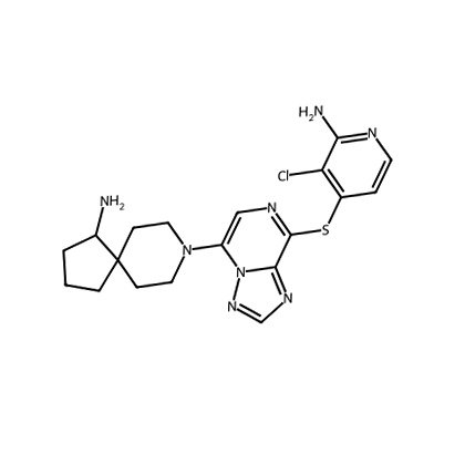 Nc1nccc(Sc2ncc(N3CCC4(CCCC4N)CC3)n3ncnc23)c1Cl